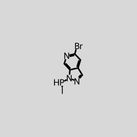 Brc1cc2cnn(PI)c2cn1